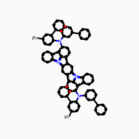 CC(C)c1ccc(N(c2cccc(-c3ccccc3)c2)c2ccc3c4cc5c(cc4n4c6ccccc6c2c34)c2ccc(N(c3cccc(-c4ccccc4)c3)c3ccc(C(C)C)cc3-c3ccccc3)c3c4ccccc4n5c23)c(-c2ccccc2)c1